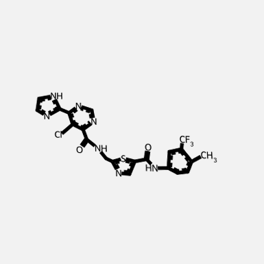 Cc1ccc(NC(=O)c2cnc(CNC(=O)c3ncnc(-c4ncc[nH]4)c3Cl)s2)cc1C(F)(F)F